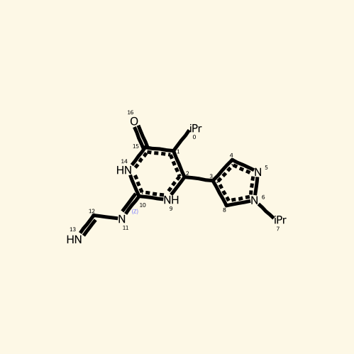 CC(C)c1c(-c2cnn(C(C)C)c2)[nH]/c(=N/C=N)[nH]c1=O